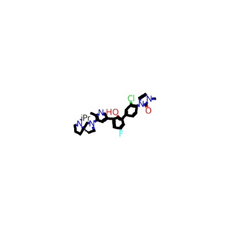 Cc1ncc(-c2cc(F)cc(-c3ccc(-n4ccn(C)c4=O)c(Cl)c3)c2O)cc1N1CC[C@]2(CCCN2C(C)C)C1